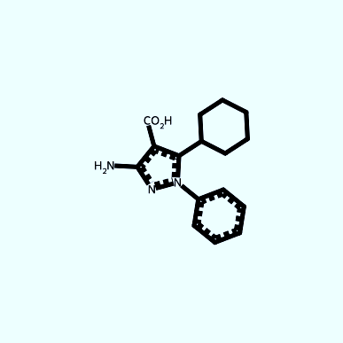 Nc1nn(-c2ccccc2)c(C2CCCCC2)c1C(=O)O